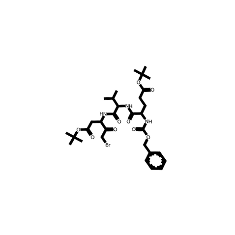 CC(C)C(NC(=O)C(CCC(=O)OC(C)(C)C)NC(=O)OCc1ccccc1)C(=O)NC(CC(=O)OC(C)(C)C)C(=O)CBr